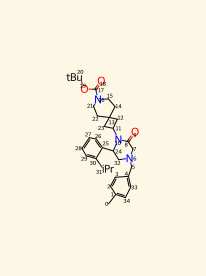 Cc1ccc(CN2CC(=O)N(C3CC4(CCN(C(=O)OC(C)(C)C)CC4)C3)C(c3ccccc3C(C)C)C2)cc1